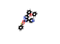 c1ccc(Oc2ccccc2-c2cnc3c(c2)c(-c2ccncc2)cn3OOSc2ccccc2)cc1